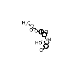 CCOC(=O)COc1ccc2c(c1)CC(N[C@H](CO)c1cc(Cl)ccc1F)CC2.Cl